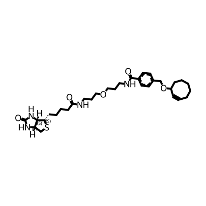 O=C(CCCC[C@@H]1SC[C@@H]2NC(=O)N[C@@H]21)NCCCOCCCNC(=O)c1ccc(COC2C#CCCCCC2)cc1